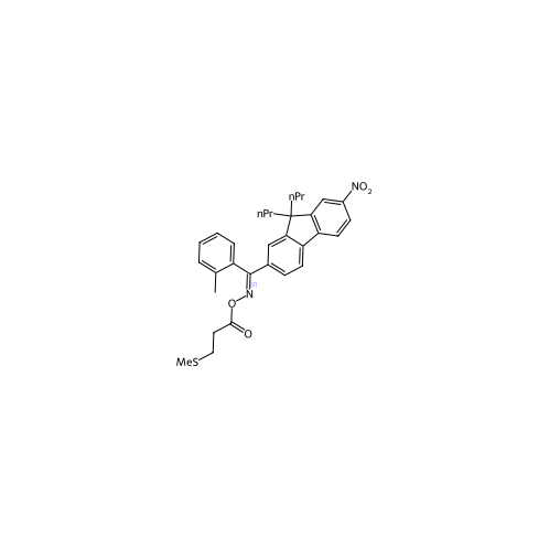 CCCC1(CCC)c2cc(/C(=N/OC(=O)CCSC)c3ccccc3C)ccc2-c2ccc([N+](=O)[O-])cc21